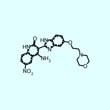 Nc1c(-c2nc3cc(OCCN4CCOCC4)ccc3[nH]2)c(=O)[nH]c2ccc([N+](=O)[O-])cc12